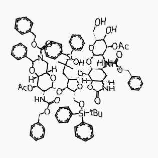 CC(=O)O[C@@H]1[C@H](O)[C@@H](CO)O[C@H](O[C@H]2[C@H](O[C@@H]3O[C@H](CO[Si](c4ccccc4)(c4ccccc4)C(C)(C)C)[C@@H](O[C@H]4O[C@H]5CN(C(=O)OCc6ccccc6)C(c6ccccc6)O[C@H]5[C@H](OC(C)=O)[C@H]4NC(=O)OCc4ccccc4)[C@H]3CC(C)(C)[Si](O)(c3ccccc3)c3ccccc3)[C@H]3OC(=O)N[C@@H]3C[C@@H]2N)[C@@H]1NC(=O)OCc1ccccc1